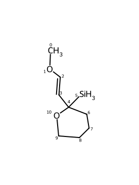 COC=CC1([SiH3])CCCCO1